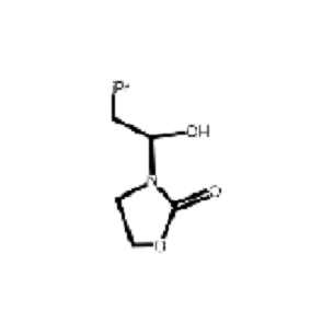 CC(C)CC(O)N1CCOC1=O